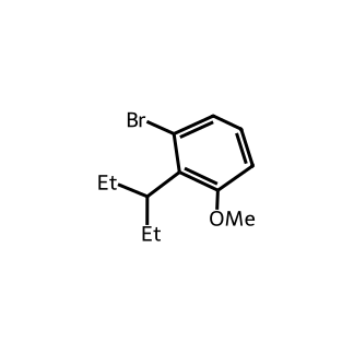 CCC(CC)c1c(Br)cccc1OC